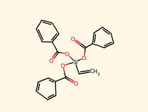 C=C[Si](OC(=O)c1ccccc1)(OC(=O)c1ccccc1)OC(=O)c1ccccc1